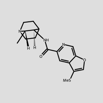 CSc1coc2cnc(C(=O)N[C@@H]3C4CCN(CC4)[C@H]3C)cc12